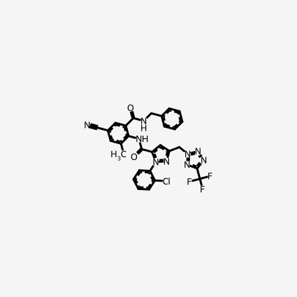 Cc1cc(C#N)cc(C(=O)NCc2ccccc2)c1NC(=O)c1cc(Cn2nnc(C(F)(F)F)n2)nn1-c1ccccc1Cl